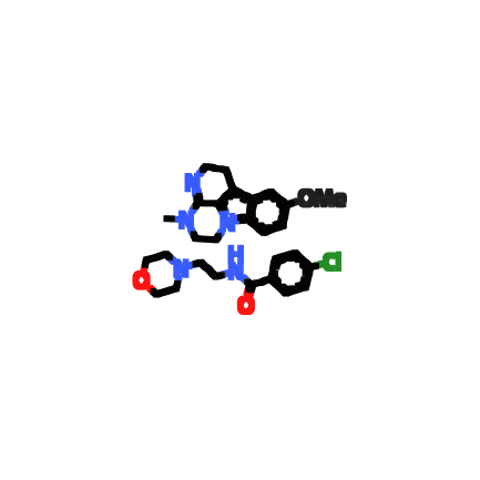 COc1ccc2c(c1)c1c3n2CCN(C)C3=NCC1.O=C(NCCN1CCOCC1)c1ccc(Cl)cc1